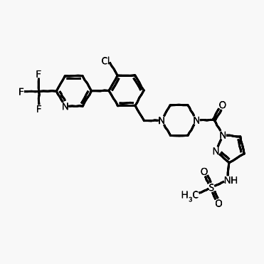 CS(=O)(=O)Nc1ccn(C(=O)N2CCN(Cc3ccc(Cl)c(-c4ccc(C(F)(F)F)nc4)c3)CC2)n1